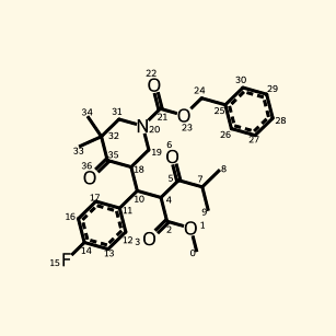 COC(=O)C(C(=O)C(C)C)C(c1ccc(F)cc1)C1CN(C(=O)OCc2ccccc2)CC(C)(C)C1=O